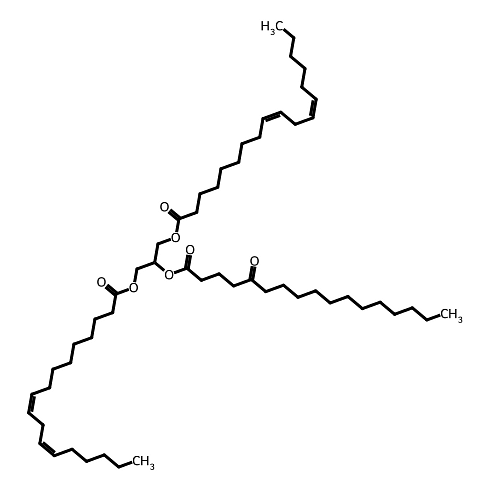 CCCCC/C=C\C/C=C\CCCCCCCC(=O)OCC(COC(=O)CCCCCCC/C=C\C/C=C\CCCCC)OC(=O)CCCC(=O)CCCCCCCCCCCC